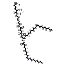 CCCCCCCC/C=C\CCCCCCCC(=O)OC[C@@H](COC(=O)CCC(=O)NCCSSCCNC(=O)C(N)CCCN)OC(=O)CCCCCCC/C=C\CCCCCCCC